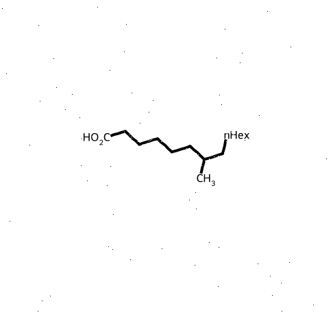 CCCCCCCC(C)CCCCCC(=O)O